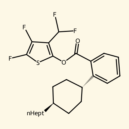 CCCCCCC[C@H]1CC[C@H](c2ccccc2C(=O)Oc2sc(F)c(F)c2C(F)F)CC1